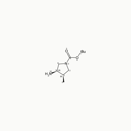 C[C@@H]1CN(C(=O)OC(C)(C)C)C[C@@H]1N